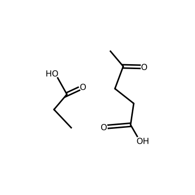 CC(=O)CCC(=O)O.CCC(=O)O